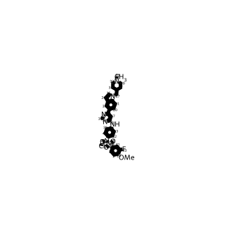 COc1ccc(S(=O)(=O)N(OC=O)c2ccc(Nc3cc(-c4ccc5c(ccn5CC5CCN(C)CC5)c4)ncn3)cc2)cc1F